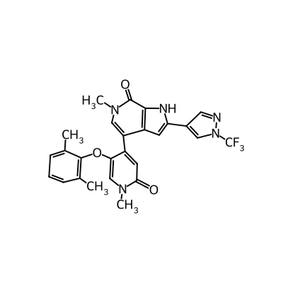 Cc1cccc(C)c1Oc1cn(C)c(=O)cc1-c1cn(C)c(=O)c2[nH]c(-c3cnn(C(F)(F)F)c3)cc12